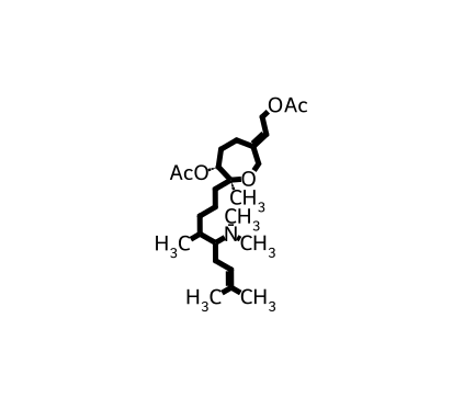 CC(=O)OC/C=C1\CC[C@@H](OC(C)=O)[C@](C)(CCCC(C)C(CC=C(C)C)N(C)C)OC1